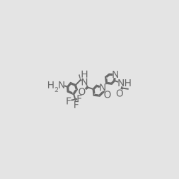 CC(=O)Nc1cc(-n2cc(C(=O)N[C@H](C)c3cc(N)cc(C(F)(F)F)c3)ccc2=O)ccn1